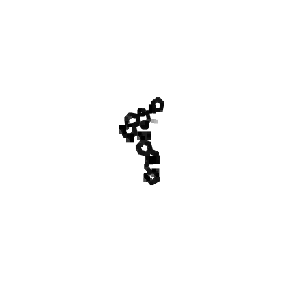 C[C@H](Oc1cccc2ncnc(Nc3ccc4c(cnn4Cc4nccs4)c3)c12)C(=O)N1CCCC1